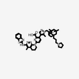 Cc1c(Nc2nc3ccccc3s2)nnc2c1CCCN2c1ccc(-c2cnn(CC3CC4(C)CC5(C)CC3CC(CCCN3CCCC3)(C4)C5)c2C)c(C(=O)O)n1